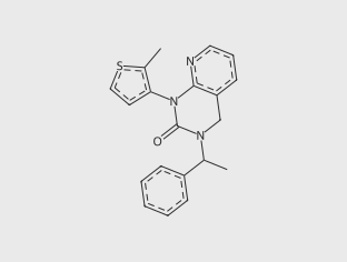 Cc1sccc1N1C(=O)N(C(C)c2ccccc2)Cc2cccnc21